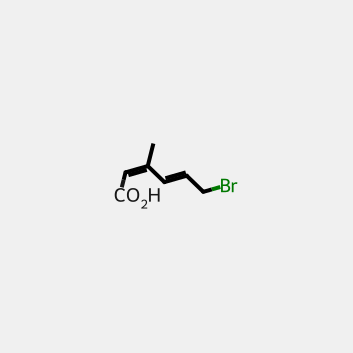 CC(C=CCBr)=CC(=O)O